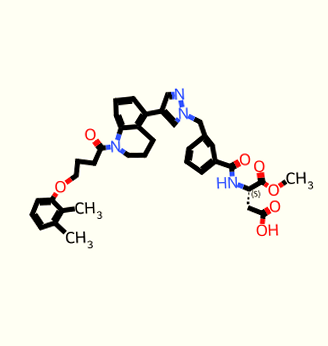 COC(=O)[C@H](CC(=O)O)NC(=O)c1cccc(Cn2cc(-c3cccc4c3CCCN4C(=O)CCCOc3cccc(C)c3C)cn2)c1